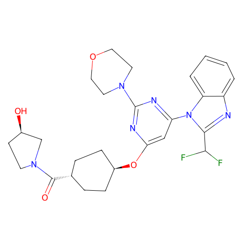 O=C([C@H]1CC[C@H](Oc2cc(-n3c(C(F)F)nc4ccccc43)nc(N3CCOCC3)n2)CC1)N1CC[C@@H](O)C1